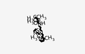 Cc1cccnc1CN(CCCCNC(=O)OC(C)(C)C)C(C)c1nccs1